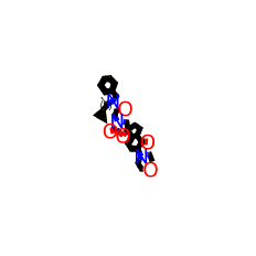 C[C@@H](C1CC1)N(Cc1ccccc1)C(=O)CN1CC2(CCC3C(=O)C(N4CCOCC4)=CC=C32)OC1=O